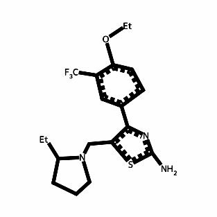 CCOc1ccc(-c2nc(N)sc2CN2CCCC2CC)cc1C(F)(F)F